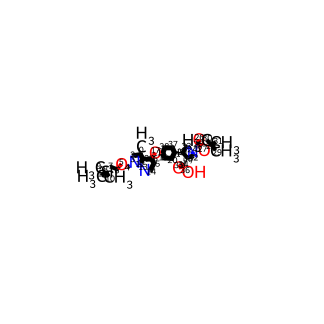 Cc1cn(COCC[Si](C)(C)C)c2nccc(Oc3ccc([C@H]4CN(C(=O)OC(C)(C)C)C[C@@H]4C(=O)O)cc3)c12